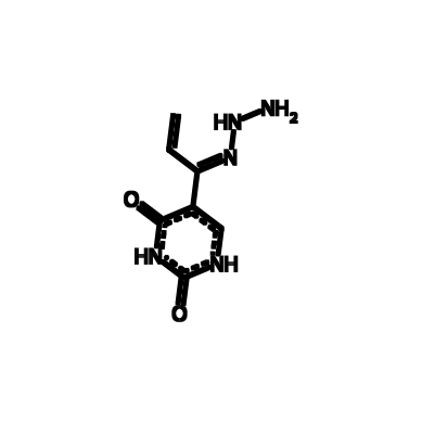 C=C/C(=N\NN)c1c[nH]c(=O)[nH]c1=O